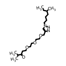 CCC(C)CCCCn1cc(COCCOCCOCCC(=O)C(C)C)nn1